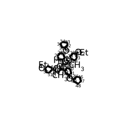 CCOc1ccc([Si](C)(C)CC(OC(C[Si](C)(C)c2ccc(OCC)cc2)c2cccc(Oc3ccccc3)c2)c2cccc(Oc3ccccc3)c2)cc1